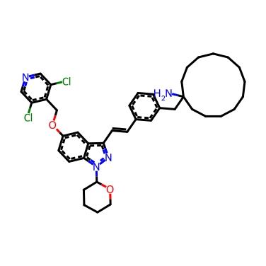 NC1(Cc2cccc(/C=C/c3nn(C4CCCCO4)c4ccc(OCc5c(Cl)cncc5Cl)cc34)c2)CCCCCCCCCCCC1